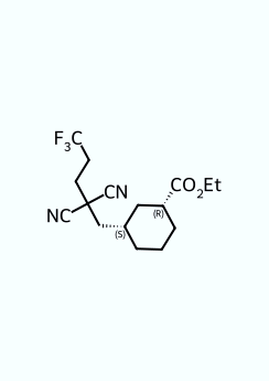 CCOC(=O)[C@@H]1CCC[C@H](CC(C#N)(C#N)CCC(F)(F)F)C1